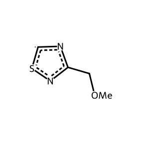 COCc1n[c]sn1